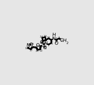 C=CC(=O)NC1CCN(S(=O)(=O)c2ccc(-c3ccno3)o2)C2(CCC2)C1